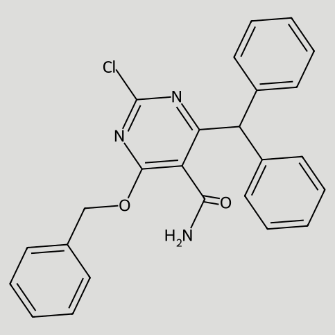 NC(=O)c1c(OCc2ccccc2)nc(Cl)nc1C(c1ccccc1)c1ccccc1